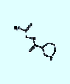 NC(=O)CNC(=O)C1CCCNC1